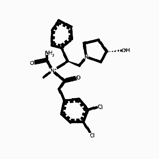 C[N+](C(N)=O)(C(=O)Cc1ccc(Cl)c(Cl)c1)[C@H](CN1CC[C@H](O)C1)c1ccccc1